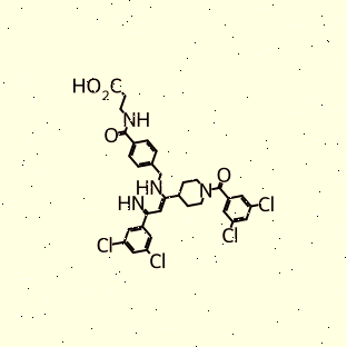 N=C(/C=C(\NCc1ccc(C(=O)NCCC(=O)O)cc1)C1CCN(C(=O)c2cc(Cl)cc(Cl)c2)CC1)c1cc(Cl)cc(Cl)c1